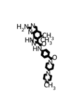 CN1CCN(C2CCN(C(=O)c3ccc(NC(=O)c4n[nH]c5c4C(C)(C)Cc4cnc(N)nc4-5)cc3)CC2)CC1